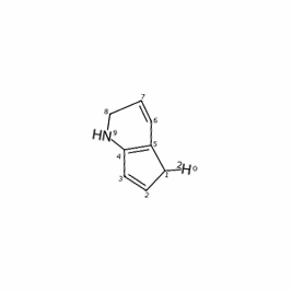 [2H]C1C=CC2=C1C=CCN2